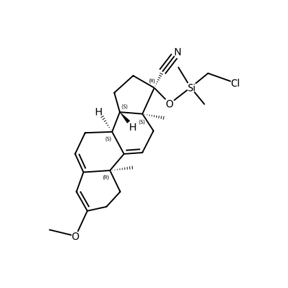 COC1=CC2=CC[C@@H]3C(=CC[C@@]4(C)[C@H]3CC[C@@]4(C#N)O[Si](C)(C)CCl)[C@@]2(C)CC1